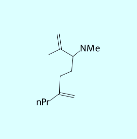 C=C(CCC)CCC(NC)C(=C)C